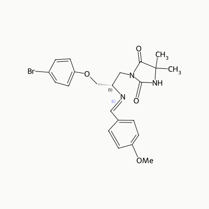 COc1ccc(/C=N/[C@H](COc2ccc(Br)cc2)CN2C(=O)NC(C)(C)C2=O)cc1